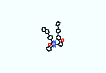 c1ccc(-c2ccc(-c3ccc4c(c3)oc3cccc(-c5nc(-c6ccc(-c7ccc8ccccc8c7)cc6)c6oc7ccccc7c6n5)c34)cc2)cc1